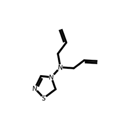 C=CCN(CC=C)N1C=NSC1